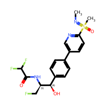 CN=S(C)(=O)c1ccc(-c2ccc([C@@H](O)[C@@H](CF)NC(=O)C(F)F)cc2)cn1